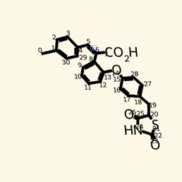 Cc1ccc(/C=C(/C(=O)O)c2ccccc2Oc2ccc(CC3SC(=O)NC3=O)cc2)cc1